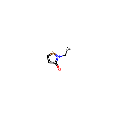 CC(=O)Cn1sccc1=O